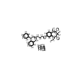 CCN1C(=O)C(C)(C)C(=O)N(C)c2ccc(OCCCN(CCc3cccnc3)Cc3ccncc3)cc21.Cl.Cl.Cl